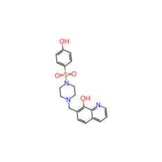 O=S(=O)(c1ccc(O)cc1)N1CCN(Cc2ccc3cccnc3c2O)CC1